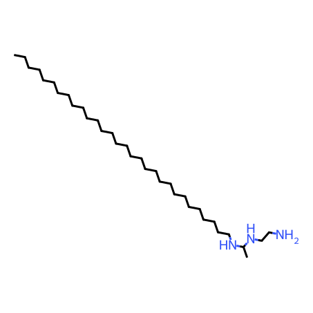 CCCCCCCCCCCCCCCCCCCCCCCCCCCCCCNC(C)NCCN